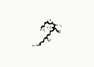 C=CCCC(C)CCC(C)C(C)(C=CCCC(O)CCCCC)CC=O